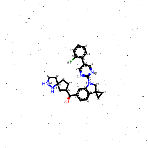 O=C(c1ccc2c(c1)N(c1ncc(-c3ccccc3F)cn1)CC21CC1)C1CCC2(CCNN2)C1